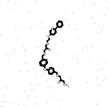 CCC(=O)COCc1ccc(Oc2ccc(CSCC(=O)COCCOc3ccc(-c4ccccc4)nc3)cc2)cc1